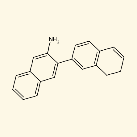 Nc1cc2ccccc2cc1-c1ccc2c(c1)CCC=C2